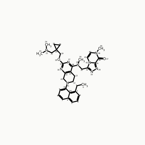 CCc1cccc2cccc(N3CCc4c(nc(OCC5(CN(C)C)CC5)nc4N(C)Cc4nnc5c(=O)n(C)ccn45)C3)c12